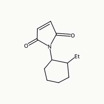 CCC1CCCCC1N1C(=O)C=CC1=O